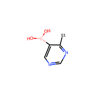 CCc1ncncc1B(O)O